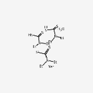 CCN(CC)C(=S)S.CCN(CC)C(=S)S.CCN(CC)C(=S)[S-].O.[Na+]